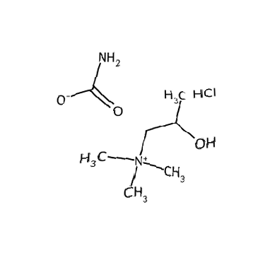 CC(O)C[N+](C)(C)C.Cl.NC(=O)[O-]